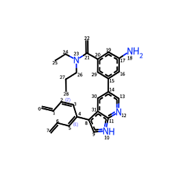 C=C/C=C\C(=C/C=C)c1c[nH]c2ncc(-c3cc(N)cc(C(=C)N(CC)CCC)c3)cc12